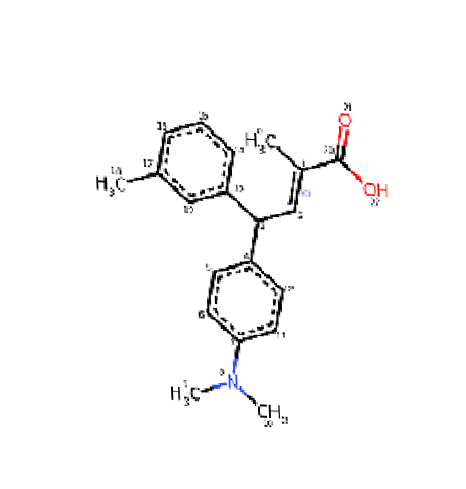 C/C(=C\C(c1ccc(N(C)C)cc1)c1cccc(C)c1)C(=O)O